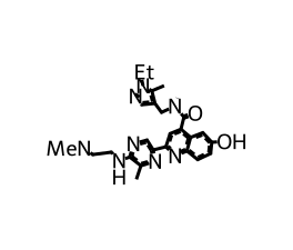 CCn1ncc(CN(C)C(=O)c2cc(-c3cnc(NCCNC)c(C)n3)nc3ccc(O)cc23)c1C